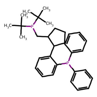 CC(C)(C)P(CC1CCCC1c1ccccc1P(c1ccccc1)c1ccccc1)C(C)(C)C